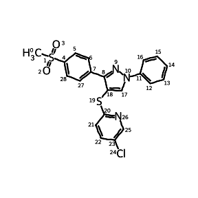 CS(=O)(=O)c1ccc(-c2nn(-c3ccccc3)cc2Sc2ccc(Cl)cn2)cc1